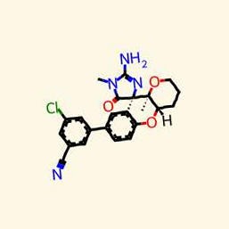 CN1C(=O)[C@]2(N=C1N)c1cc(-c3cc(Cl)cc(C#N)c3)ccc1O[C@H]1CCCO[C@@]12C